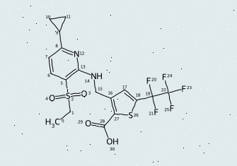 CCS(=O)(=O)c1ccc(C2CC2)nc1NCc1cc(C(F)(F)C(F)(F)F)sc1C(=O)O